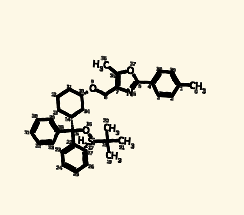 Cc1ccc(-c2nc(CO[C@H]3CCC[C@@H](C(O[SiH2]C(C)(C)C)(c4ccccc4)c4ccccc4)C3)c(C)o2)cc1